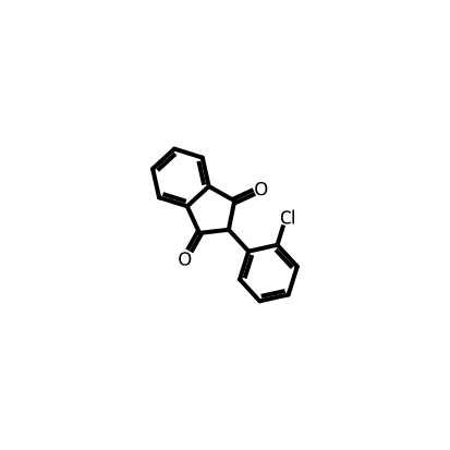 O=C1c2ccccc2C(=O)C1c1ccccc1Cl